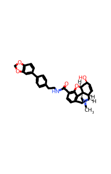 CN1CC[C@]23c4c5ccc(C(=O)NCCc6ccc(-c7ccc8c(c7)OCO8)cc6)c4O[C@H]2[C@@H](O)C=C[C@H]3[C@H]1C5